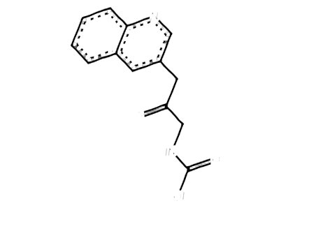 O=C(CNC(=O)O)Cc1cnc2ccccc2c1